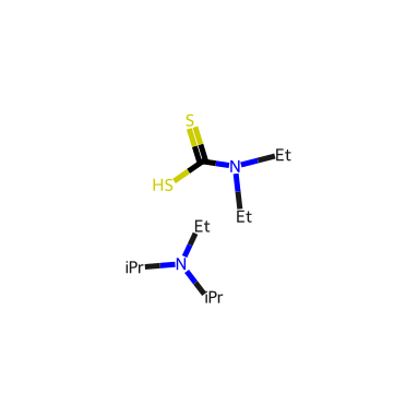 CCN(C(C)C)C(C)C.CCN(CC)C(=S)S